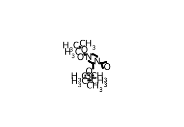 CC(C)(C)OC(=O)N1CCN(C2COC2)C(CO[Si](C)(C)C(C)(C)C)C1